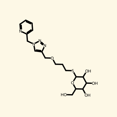 OCC1OC(SCCCOCc2cn(Cc3ccccn3)nn2)C(O)C(O)C1O